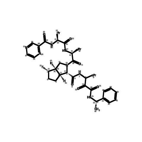 CCCC(NC(=O)[C@@H]1[C@H]2CC[C@H](F)[C@H]2CN1C(=O)[C@@H](NC(=O)[C@@H](NC(=O)c1cnccn1)C(C)C)C(C)C)C(=O)C(=O)N[C@@H](C)c1ccccc1